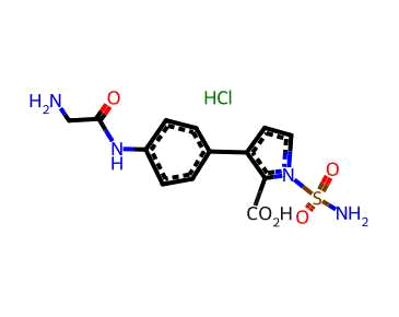 Cl.NCC(=O)Nc1ccc(-c2ccn(S(N)(=O)=O)c2C(=O)O)cc1